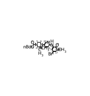 CCCCOC(=O)N1CCN(c2ccc(Nc3cc(Br)cn(C)c3=O)nc2)C(C)(C)C1